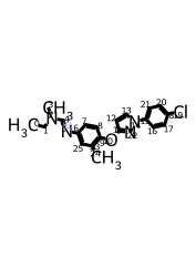 CCN(C)/C=N/c1ccc(Oc2ccn(-c3ccc(Cl)cc3)n2)c(C)c1